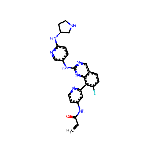 C=CC(=O)Nc1ccnc(-c2c(F)ccc3cnc(Nc4ccc(N[C@H]5CCNC5)nc4)nc23)c1